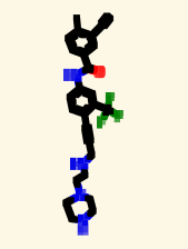 C#Cc1cc(C(=O)Nc2ccc(C#CCNCCN3CCNCC3)c(C(F)(F)F)c2)ccc1C